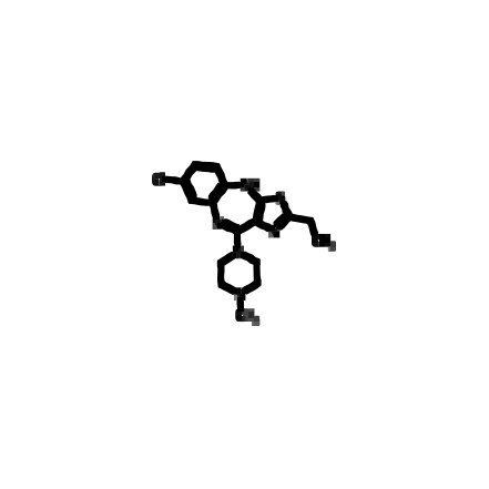 CCc1nc2c(s1)Nc1ccc(Cl)cc1N=C2N1CCN(C)CC1